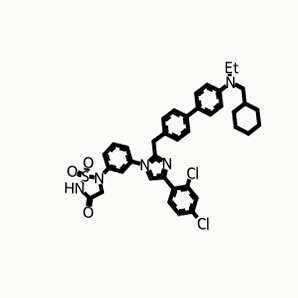 CCN(CC1CCCCC1)c1ccc(-c2ccc(Cc3nc(-c4ccc(Cl)cc4Cl)cn3-c3cccc(N4CC(=O)NS4(=O)=O)c3)cc2)cc1